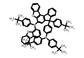 CC(C)(C)c1ccc(N(c2ccc(C(C)(C)C)cc2)c2ccc(C3(c4ccc(C(C)(C)C)cc4)c4ccccc4-c4c3cc(N(c3ccc(C(C)(C)C)cc3)c3cccc5c6c(oc35)CCC=C6)c3oc5ccccc5c43)cc2)cc1